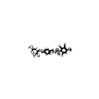 COC(=O)C[C@H](NCc1ccc(CNS(=O)(=O)c2c(C)cc(OC)c(C)c2C)cc1)C(=O)OC